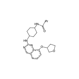 CC(C)C(=O)NC1CCC(Nc2ncc3cccc(OC4CCOC4)c3n2)CC1